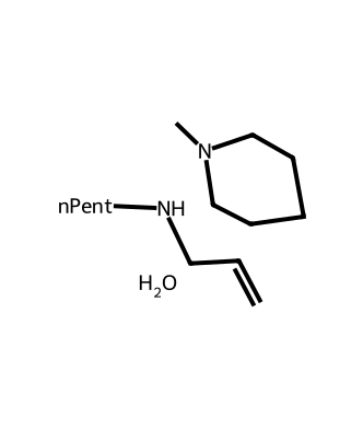 C=CCNCCCCC.CN1CCCCC1.O